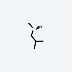 CC(C)C[PH](C)=P